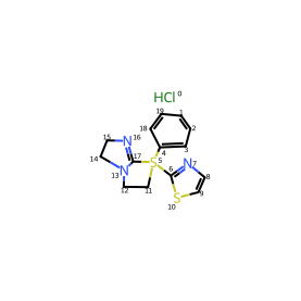 Cl.c1ccc(S2(c3nccs3)CCN3CCN=C32)cc1